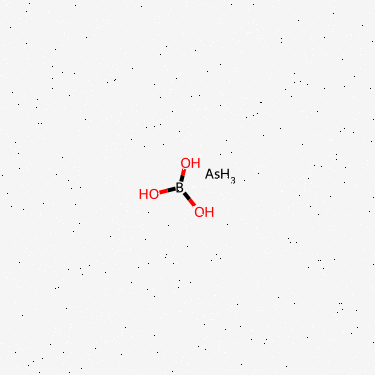 OB(O)O.[AsH3]